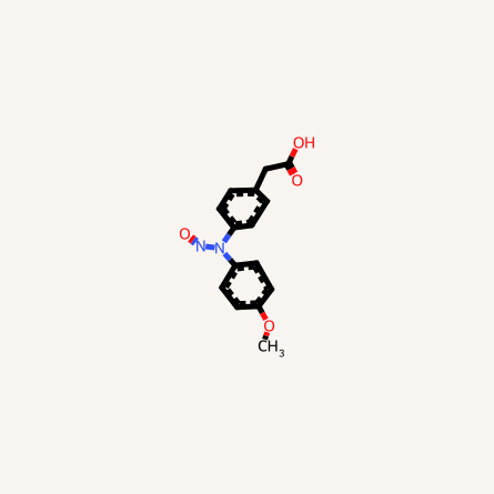 COc1ccc(N(N=O)c2ccc(CC(=O)O)cc2)cc1